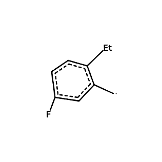 [CH2]c1cc(F)ccc1CC